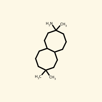 CC1(C)CCCC2CCC(C)(N)CCCC2CC1